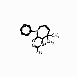 CC1(C)C=CCN(c2ccccc2)C(=O)C1NC(=O)O